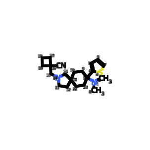 CN(C)C1(c2cccs2)CCC2(CCN(CC3(C#N)CCC3)C2)CC1